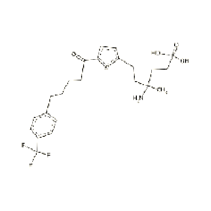 CC(N)(CCc1ccc(C(=O)CCCCc2ccc(C(F)(F)F)cc2)s1)CCP(=O)(O)O